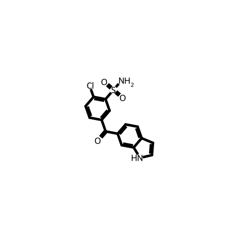 NS(=O)(=O)c1cc(C(=O)c2ccc3cc[nH]c3c2)ccc1Cl